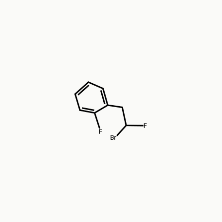 Fc1ccccc1CC(F)Br